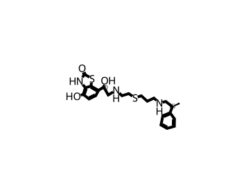 C[C@H](CNCCCSCCNC[C@H](O)c1ccc(O)c2[nH]c(=O)sc12)c1ccccc1